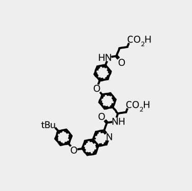 CC(C)(C)c1ccc(Oc2ccc3cnc(C(=O)NC(CC(=O)O)c4ccc(Oc5ccc(NC(=O)CCC(=O)O)cc5)cc4)cc3c2)cc1